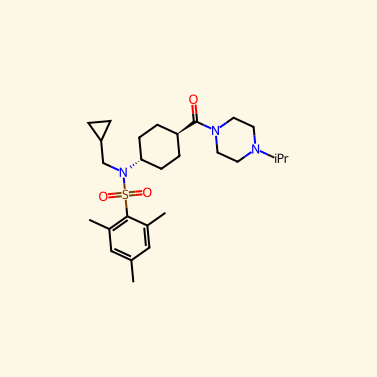 Cc1cc(C)c(S(=O)(=O)N(CC2CC2)[C@H]2CC[C@H](C(=O)N3CCN(C(C)C)CC3)CC2)c(C)c1